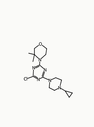 CC1(C)COCCN1c1nc(Cl)nc(N2CCN(C3CC3)CC2)n1